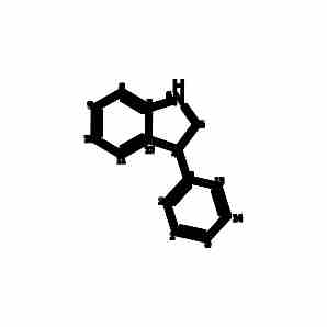 c1ccc(C2CNc3ccccc32)cc1